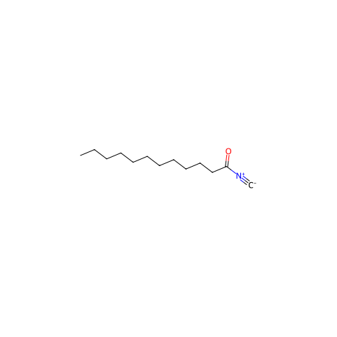 [C-]#[N+]C(=O)CCCCCCCCCCC